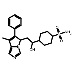 CC1=C(c2ccccc2)C(CC(O)C2CCC(S(N)(=O)=O)CC2)n2cncc21